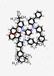 CC(C)(C)c1ccc(N2B3c4ccc(N(c5cccc(-c6ccccc6)c5)c5cccc(-c6ccccc6)c5)cc4N(c4ccc(C(C)(C)C)cc4-c4ccccc4)c4cc5ccccc5c(c43)-c3cc4sc5cc6c(cc5c4cc32)C(C)(C)CCC6(C)C)cc1